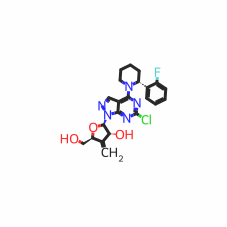 C=C1[C@@H](O)[C@H](n2ncc3c(N4CCCC[C@@H]4c4ccccc4F)nc(Cl)nc32)O[C@@H]1CO